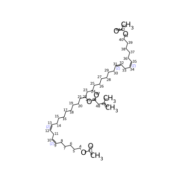 CC(=O)OCCCCC/C=C\C/C=C\CCCCCCCCC(CCCCCCCC/C=C\C/C=C\CCCCCOC(C)=O)OC(=O)CC(C)C